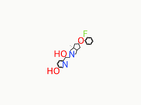 C[C@]12C[C@H](Oc3ccccc3F)CC1CN(C[C@@H](O)c1ccc(O)cn1)C2